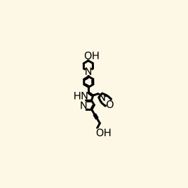 OCCC#Cc1cnc2[nH]c(-c3ccc(N4CCC(O)CC4)cc3)c(CN3C4CCC3COC4)c2c1